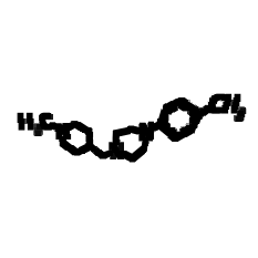 Cc1ccc(N2CCN(CC3CCN(C)CC3)CC2)cc1